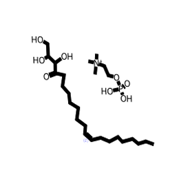 CCCCCCCC/C=C\CCCCCCCC(=O)C(O)C(O)CO.C[N+](C)(C)CCOP(=O)(O)O